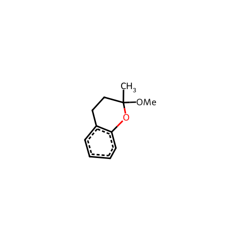 COC1(C)CCc2ccccc2O1